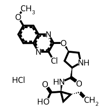 C=C[C@@H]1C[C@]1(NC(=O)[C@H]1C[C@@H](Oc2nc3cc(OC)ccc3nc2Cl)CN1)C(=O)O.Cl